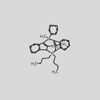 CCC[CH2][Ti]1([CH2]CCC)[CH]2C(C)=C(c3ccccc32)[Si](C)(c2ccccc2)C2=C(C)[CH]1c1ccccc12